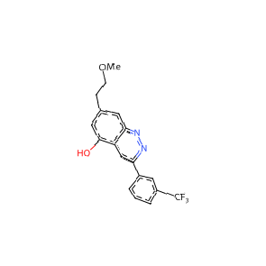 COCCc1cc(O)c2cc(-c3cccc(C(F)(F)F)c3)nnc2c1